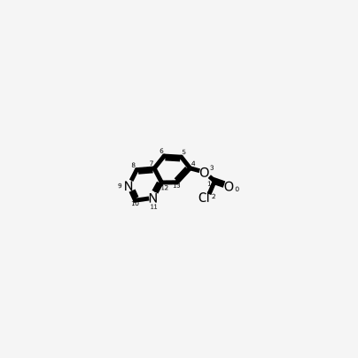 O=C(Cl)Oc1ccc2cncnc2c1